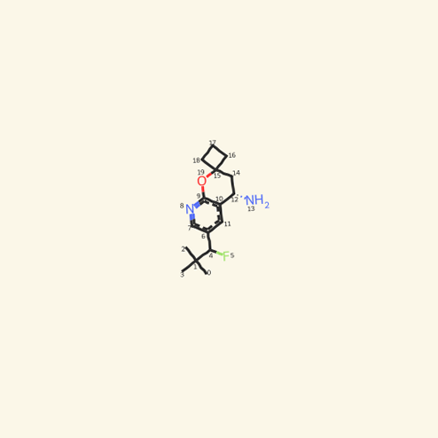 CC(C)(C)C(F)c1cnc2c(c1)[C@@H](N)CC1(CCC1)O2